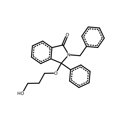 O=C1c2ccccc2C(OCCCO)(c2ccccc2)N1Cc1ccccc1